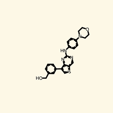 OCc1cccc(-c2csc3cnc(Nc4ccc(N5CCOCC5)cc4)nc23)c1